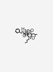 CCCCN1C[C@H]2N(C(=O)CN(C)N2C(=O)NCc2ccccc2)[C@@H](CC(C)C)C1=O